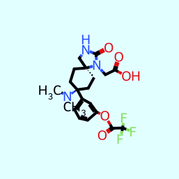 CN(C)[C@]1(c2cccc(OC(=O)C(F)(F)F)c2)CC[C@]2(CC1)CNC(=O)N2CC(=O)O